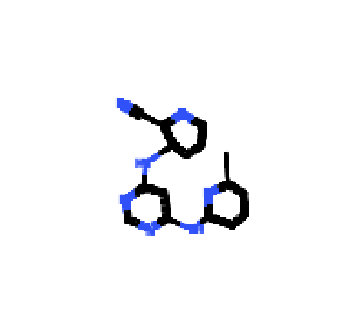 Cc1cccc(Nc2cc(Nc3cccnc3C#N)ncn2)n1